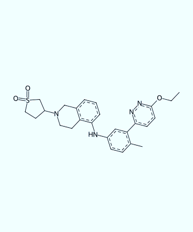 CCOc1ccc(-c2cc(Nc3cccc4c3CCN(C3CCS(=O)(=O)C3)C4)ccc2C)nn1